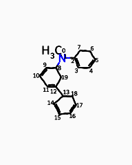 CN(C1=CC=CCC1)C1C=CC=C(C2C=CC=CC2)C1